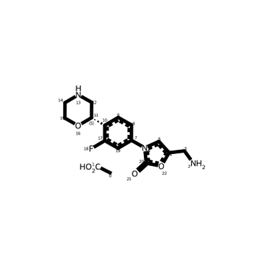 CC(=O)O.NCc1cn(-c2ccc([C@H]3CNCCO3)c(F)c2)c(=O)o1